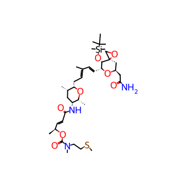 CSCCN(C)C(=O)O[C@@H](C)C=CC(=O)N[C@@H]1C[C@H](C)[C@H](CC=C(C)C=C[C@H]2O[C@H](CC(N)=O)C[C@@]3(CO3)[C@@H]2O[Si](C)(C)C(C)(C)C)O[C@@H]1C